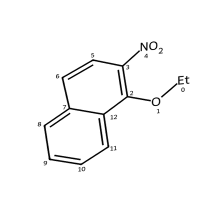 CCOc1c([N+](=O)[O-])ccc2ccccc12